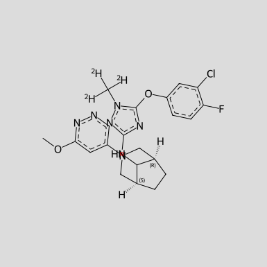 [2H]C([2H])([2H])n1nc(NC2[C@@H]3CC[C@H]2CN(c2cnnc(OC)c2)C3)nc1Oc1ccc(F)c(Cl)c1